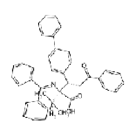 CC(C)(C)[C@@](N=C(c1ccccc1)c1ccccc1)(C(=O)O)[C@@H](CC(=O)c1ccccc1)c1ccc(-c2ccccc2)cc1